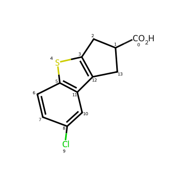 O=C(O)C1Cc2sc3ccc(Cl)cc3c2C1